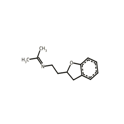 CC(C)=NCCC1Cc2ccccc2O1